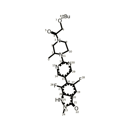 CC1CN(C(=O)COC(C)(C)C)CCN1c1ncc(-c2c(F)cc3c(=O)n(C)[nH]c3c2F)cn1